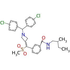 CCC(C)CNC(=O)c1cccc(C(=C2CN(C(c3ccc(Cl)cc3)c3ccc(Cl)cc3)C2)S(C)(=O)=O)c1